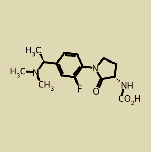 C[C@@H](c1ccc(N2CC[C@H](NC(=O)O)C2=O)c(F)c1)N(C)C